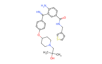 CC(C)(O)CN1CCC(Oc2ccc(C(=N)c3cc(C(=O)NCc4ccsc4)ccc3N)cc2)CC1